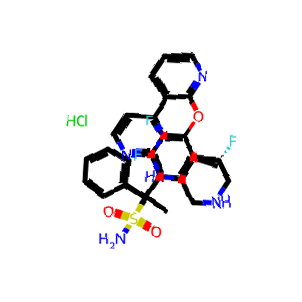 Cc1cc(C(C)(c2ccccc2)S(N)(=O)=O)c(F)c(F)c1Oc1ncccc1-c1ccnc(N[C@@H]2CNC[C@@H](F)C2)n1.Cl